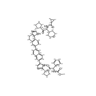 COC(=O)N[C@@H](C(=O)N1CCC[C@H]1c1ncc(-c2ccc3cc(-c4ccc5c(c4)CCc4nc([C@@H]6CCCC6C(=O)[C@@H](NC(=O)C6CC6)C6CCOCC6)[nH]c4-5)ccc3c2)[nH]1)c1ccccc1